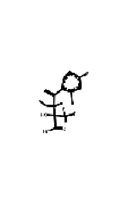 C=C(c1ccc(F)cc1C)C(C)(CC)C(O)(C(=O)O)C(F)(F)F